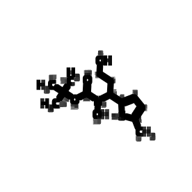 Cc1ccc(C(CCO)N(O)C(=O)OC(C)(C)C)s1